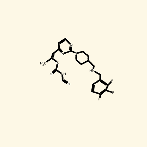 C/C(=C/c1ccnc(N2CCC(CNCc3ccc(F)c(F)c3F)CC2)n1)SC(=O)NC=O